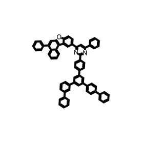 c1ccc(-c2ccc(-c3cc(-c4ccc(-c5nc(-c6ccccc6)cc(-c6ccc7oc8cc(-c9ccccc9)c9ccccc9c8c7c6)n5)cc4)cc(-c4cccc(-c5ccccc5)c4)c3)cc2)cc1